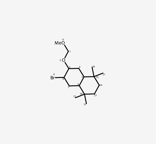 COCOC1CC2C(CC1Br)C(C)(C)CCC2(C)C